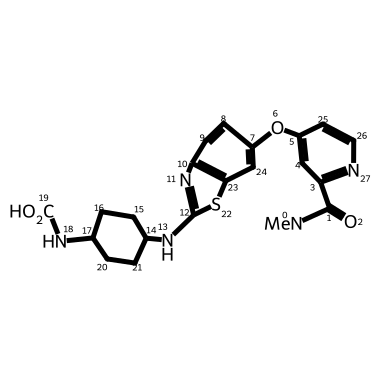 CNC(=O)c1cc(Oc2ccc3nc(NC4CCC(NC(=O)O)CC4)sc3c2)ccn1